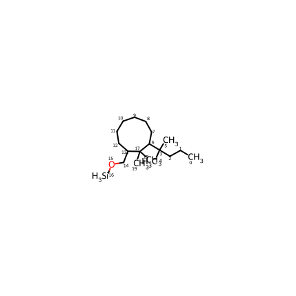 CCCC(C)(C)C1CCCCCC[C](CO[SiH3])C1(C)C